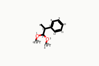 CCCOC(OCCC)C(C)c1ccccc1